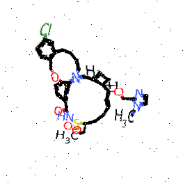 CC[C@@H]1CC/C=C/[C@H](OCc2nccn2C)[C@@H]2CC[C@H]2CN2CCCCc3cc(Cl)ccc3COc3ccc(cc32)C(=O)NS1(=O)=O